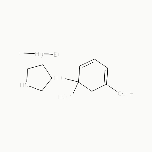 C1CCNC1.CC1(C(=O)O)C=CC=C(C(=O)O)C1.C[CH2][Hg][Cl]